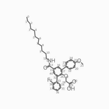 CCCCCCCCCCCCNC(=O)c1cc(-c2ccc(OC)cc2)c(OCC(=O)O)c(-c2ccccc2F)c1